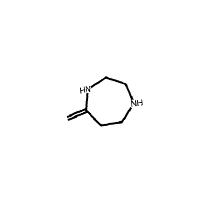 C=C1CCNCCN1